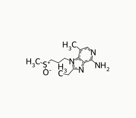 CCc1nc2c(N)ncc(C)c2n1CCC[S+](C)[O-]